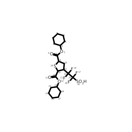 O=C(OC1CCCCC1)C1CC(C(F)(F)C(F)(F)S(=O)(=O)O)C(C(=O)OC2CCCCC2)S1